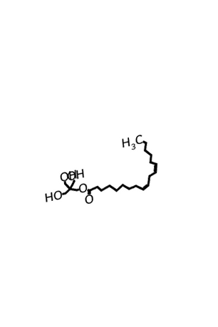 CCCCC/C=C\C/C=C\CCCCCCCC(=O)OCC(CO)(CO)CO